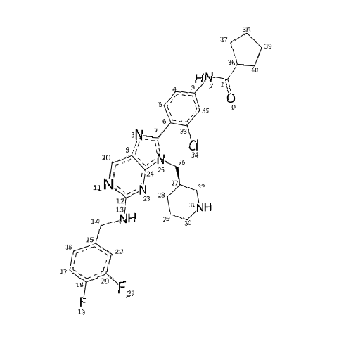 O=C(Nc1ccc(-c2nc3cnc(NCc4ccc(F)c(F)c4)nc3n2C[C@@H]2CCCNC2)c(Cl)c1)C1CCCC1